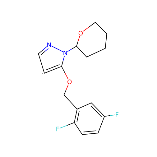 Fc1ccc(F)c(COc2[c]cnn2C2CCCCO2)c1